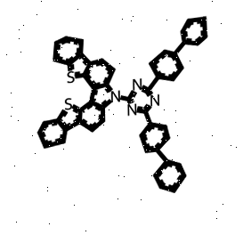 c1ccc(-c2ccc(-c3nc(-c4ccc(-c5ccccc5)cc4)nc(-n4c5ccc6c7ccccc7sc6c5c5c6sc7ccccc7c6ccc54)n3)cc2)cc1